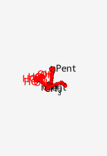 CCCCC/C=C\C/C=C\CCCCCCCCOC(CCCCCCC/C=C\C/C=C\CCCCC)O[Si](C)(C)OCCCCCCN(C1OCC(O)C(O)C1O)C1OCC(O)C(O)C1O